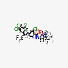 CC(NC(=O)c1ccc(/C(F)=C/C(c2cc(Cl)c(Cl)c(Cl)c2)C(F)(F)F)cc1Cl)C(=O)N(C)CC(F)(F)F